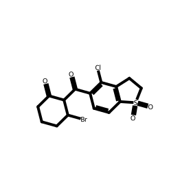 O=C1CCCC(Br)C1C(=O)c1ccc2c(c1Cl)CCS2(=O)=O